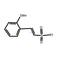 CCS(=O)(=O)/C=C/c1ccccc1SC